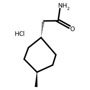 C[C@H]1CC[C@H](CC(N)=O)CC1.Cl